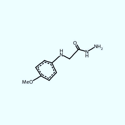 COc1ccc(NCC(=O)NN)cc1